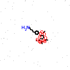 COC(=O)[C@H]1OC(Oc2ccc(CCCCN)cc2)[C@H](OC(C)=O)[C@@H](OC(C)=O)[C@@H]1OC(C)=O